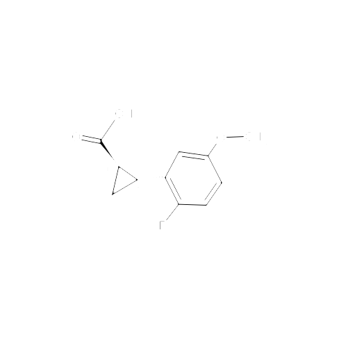 COc1ccc(F)c([C@@H]2C[C@H]2C(=O)O)c1